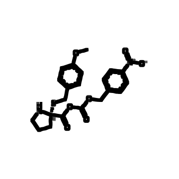 COc1ccc(CS[C@]2(C(=O)OC(=O)OCc3ccc([N+](=O)[O-])cc3)CCCN2)cc1